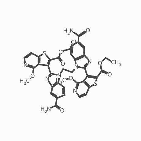 CCOC(=O)c1sc2ccnc(OC)c2c1-c1nc2cc(C(N)=O)ccc2n1CCn1c(-c2c(C(=O)OCC)sc3ccnc(OC)c23)nc2cc(C(N)=O)ccc21